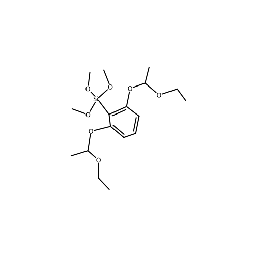 CCOC(C)Oc1cccc(OC(C)OCC)c1[Si](OC)(OC)OC